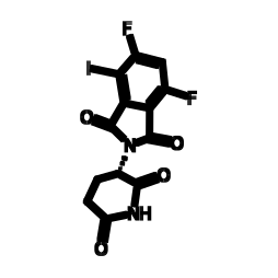 O=C1CC[C@H](N2C(=O)c3c(F)cc(F)c(I)c3C2=O)C(=O)N1